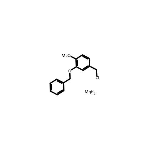 COc1ccc(CCl)cc1OCc1ccccc1.[MgH2]